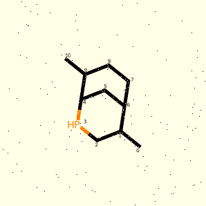 CC1CPC2CC1CCC2C